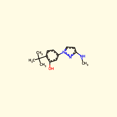 CNc1ccn(-c2ccc(C(C)(C)C)c(O)c2)n1